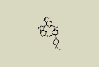 Cc1cc(Nc2nc(-n3cnc4ccccc43)c3cc[nH]c3n2)ccc1N1CCN(C)CC1